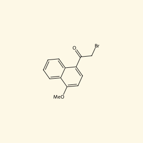 COc1ccc(C(=O)CBr)c2ccccc12